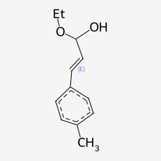 CCOC(O)/C=C/c1ccc(C)cc1